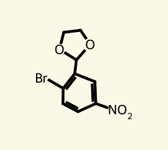 O=[N+]([O-])c1ccc(Br)c(C2OCCO2)c1